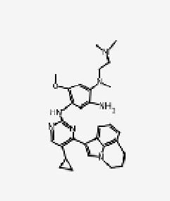 COc1cc(N(C)CCN(C)C)c(N)cc1Nc1ncc(C2CC2)c(-c2cn3c4c(cccc24)CCC3)n1